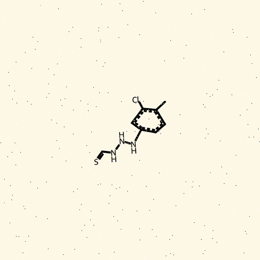 Cc1ccc(NNNC=S)cc1Cl